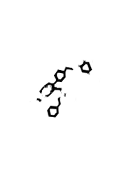 CC(=O)N1CC2CC(c3ccc(CCOc4cc(C)ccc4C)cc3)=C(C(=O)N(C)CCc3ccccc3)C(C1)N2